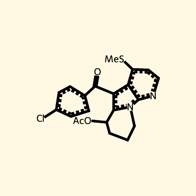 CSc1ccnc2c1c(C(=O)c1ccc(Cl)cc1)c1n2CCCC1OC(C)=O